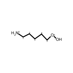 NCCCCCOO